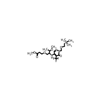 COC(=O)CCOCC(Nc1cnn(COCC[Si](C)(C)C)c(=O)c1C(F)(F)F)C(C)OC